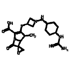 CC1C(SC2CN(NC3CCC(NC(=N)N)CC3)C2)=C(C(=O)O)N2C(=O)C3(CO3)C12